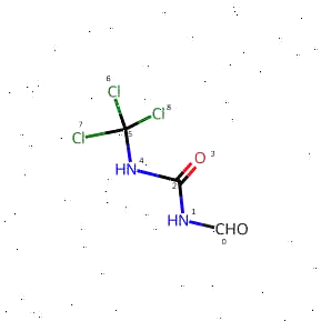 O=CNC(=O)NC(Cl)(Cl)Cl